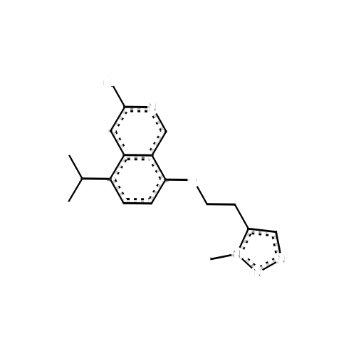 CC(C)c1ccc(OCCc2cnnn2C)c2cnc(Cl)cc12